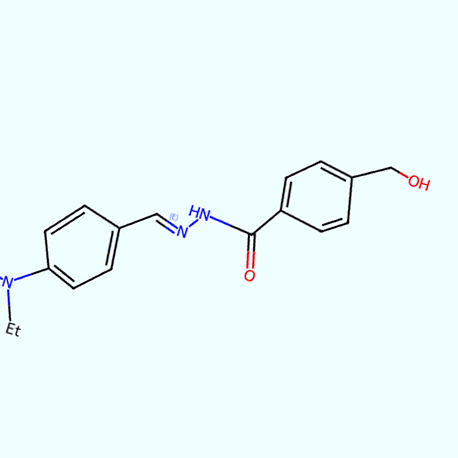 CCN(CC)c1ccc(/C=N/NC(=O)c2ccc(CO)cc2)cc1